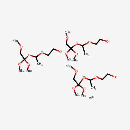 CCCCOCC(OCCCC)(OCCCC)OC(C)OCC[O-].CCCCOCC(OCCCC)(OCCCC)OC(C)OCC[O-].CCCCOCC(OCCCC)(OCCCC)OC(C)OCC[O-].[Al+3]